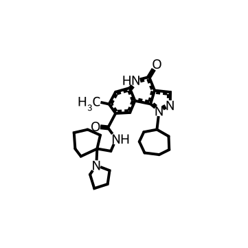 Cc1cc2[nH]c(=O)c3cnn(C4CCCCCC4)c3c2cc1C(=O)NCC1(N2CCCC2)CCCCC1